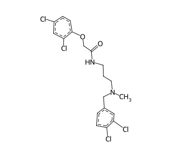 CN(CCCNC(=O)COc1ccc(Cl)cc1Cl)Cc1ccc(Cl)c(Cl)c1